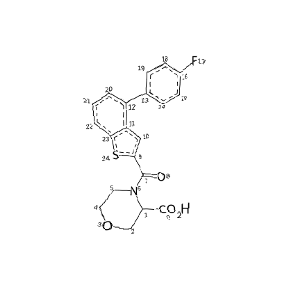 O=C(O)C1COCCN1C(=O)c1cc2c(-c3ccc(F)cc3)cccc2s1